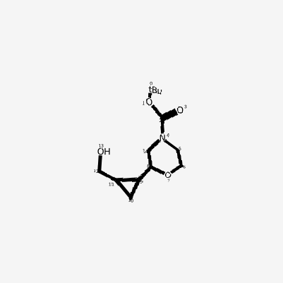 CC(C)(C)OC(=O)N1CCOC(C2CC2CO)C1